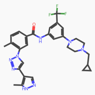 Cc1ccc(C(=O)Nc2cc(N3CCN(CC4CC4)CC3)cc(C(F)(F)F)c2)cc1-n1cc(-c2cn[nH]c2C)nn1